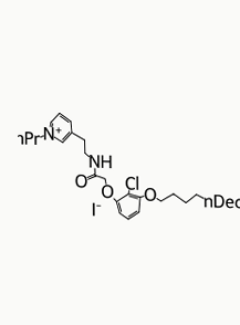 CCCCCCCCCCCCCCOc1cccc(OCC(=O)NCCc2ccc[n+](CCC)c2)c1Cl.[I-]